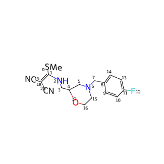 CSC(NCC1CN(Cc2ccc(F)cc2)CCO1)=C(C#N)C#N